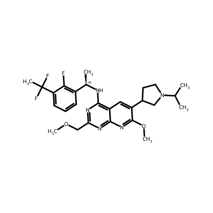 COCc1nc(N[C@H](C)c2cccc(C(C)(F)F)c2F)c2cc(C3CCN(C(C)C)C3)c(OC)nc2n1